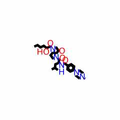 CCCCC(O)C(=O)N1CC(=O)C2C1CCN2C(=O)C(CC(C)C)NC(=O)c1ccc(N2CCN(C)CC2)cc1